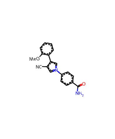 COc1ccccc1-c1cn(-c2ccc(C(N)=O)cc2)cc1C#N